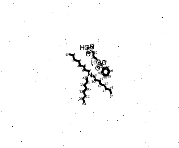 CCCCCCCCN(CCCCCCCC)CCCCCCCC.CCCS(=O)(=O)O.O=S(=O)(O)c1ccccc1